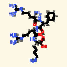 NCCCC[C@H](NC(=O)[C@H](CCCN=C(N)N)NC(=O)[C@H](Cc1ccccc1)NC(=O)[C@@H](N)CCCN=C(N)N)C(=O)O